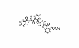 COCc1ccccc1C(=O)N1CCC(Oc2ccccc2C(=O)NCC(=O)c2ccccc2)CC1